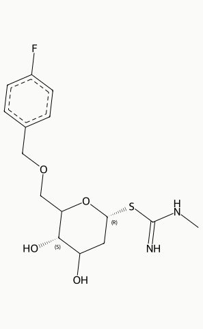 CNC(=N)S[C@@H]1CC(O)[C@H](O)C(COCc2ccc(F)cc2)O1